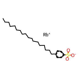 CCCCCCCCCCCCCCCCCCc1ccc(S(=O)(=O)[O-])cc1.[Rb+]